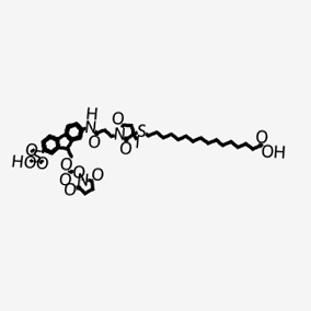 O=C(O)CCCCCCCCCCCCCCCSC1(I)CC(=O)N(CCC(=O)Nc2ccc3c(c2)C(COC(=O)ON2C(=O)CCC2=O)c2cc(S(=O)(=O)O)ccc2-3)C1=O